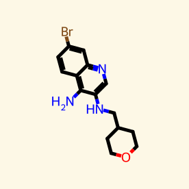 Nc1c(NCC2CCOCC2)cnc2cc(Br)ccc12